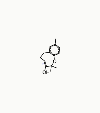 Cc1ccc2c(c1)CC/C=C(\O)C(C)(C)O2